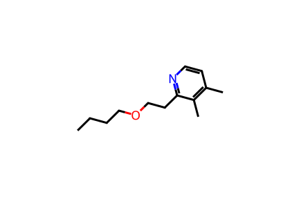 CCCCOCCc1nccc(C)c1C